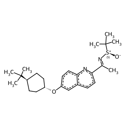 CC(=N[S@+]([O-])C(C)(C)C)c1ccc2cc(O[C@H]3CC[C@H](C(C)(C)C)CC3)ccc2n1